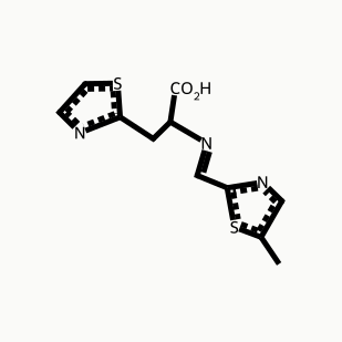 Cc1cnc(C=NC(Cc2nccs2)C(=O)O)s1